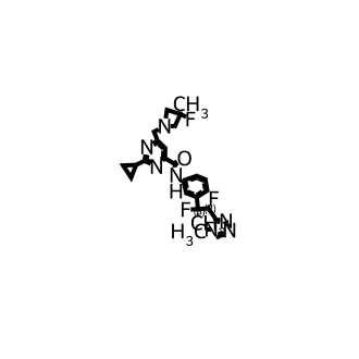 Cn1cnnc1[C@@H](F)[C@@](C)(F)c1cccc(NC(=O)c2cc(CN3CC(C)(F)C3)nc(C3CC3)n2)c1